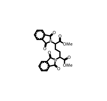 COC(=O)C(CCC(C(=O)OC)N1C(=O)c2ccccc2C1=O)N1C(=O)c2ccccc2C1=O